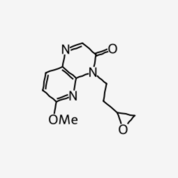 COc1ccc2ncc(=O)n(CCC3CO3)c2n1